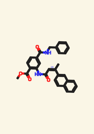 COC(=O)c1ccc(C(=O)NCc2ccccc2)cc1NC(=O)/C=C(/C)c1ccc2ccccc2c1